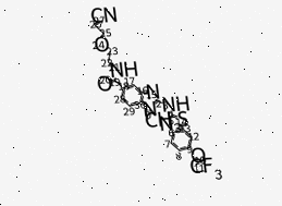 Cn1c(Nc2nc3ccc(OC(F)(F)F)cc3s2)nc2cc(C(=O)NCCOCCC#N)ccc21